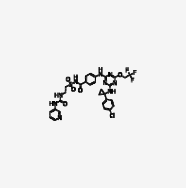 O=C(NCCS(=O)(=O)NC(=O)c1ccc(Nc2nc(NC3(c4ccc(Cl)cc4)CC3)nc(OCC(F)(F)F)n2)cc1)Nc1cccnc1